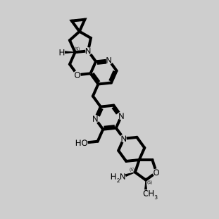 C[C@@H]1OCC2(CCN(c3ncc(Cc4ccnc5c4OC[C@@H]4CC6(CC6)CN54)nc3CO)CC2)[C@@H]1N